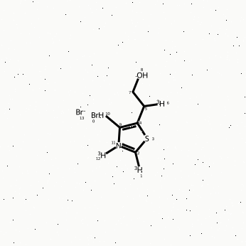 Br.[3H]c1sc(C([3H])CO)c(C)[n+]1[3H].[Br-]